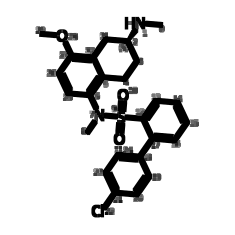 CN[C@H]1CCc2c(N(C)S(=O)(=O)c3ccccc3-c3ccc(Cl)cc3)ccc(OC)c2C1